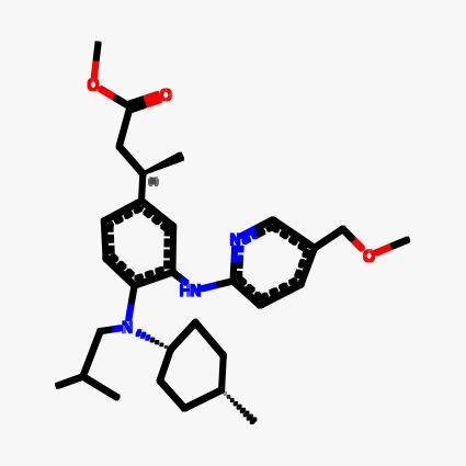 COCc1ccc(Nc2cc([C@H](C)CC(=O)OC)ccc2N(CC(C)C)[C@H]2CC[C@@H](C)CC2)nc1